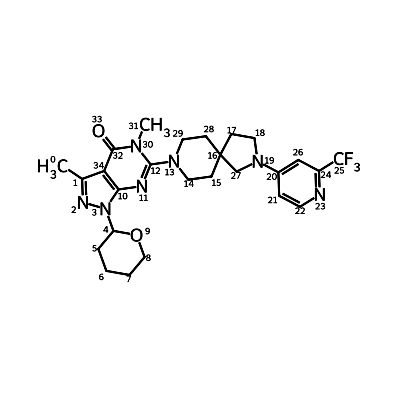 Cc1nn(C2CCCCO2)c2nc(N3CCC4(CCN(c5ccnc(C(F)(F)F)c5)C4)CC3)n(C)c(=O)c12